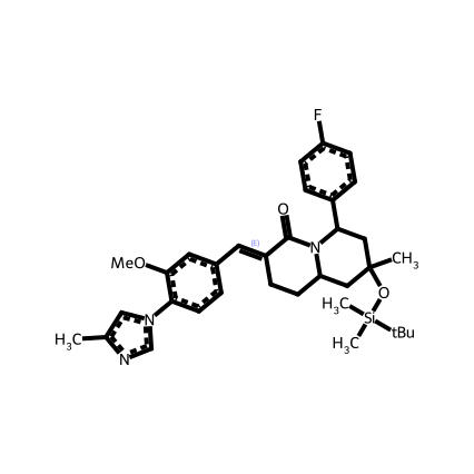 COc1cc(/C=C2\CCC3CC(C)(O[Si](C)(C)C(C)(C)C)CC(c4ccc(F)cc4)N3C2=O)ccc1-n1cnc(C)c1